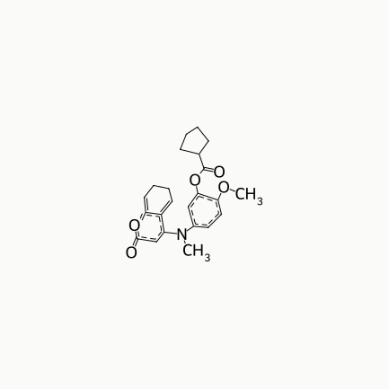 COc1ccc(N(C)c2cc(=O)oc3c2=CCCC=3)cc1OC(=O)C1CCCC1